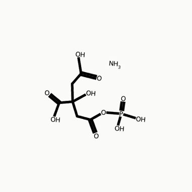 N.O=C(O)CC(O)(CC(=O)OP(=O)(O)O)C(=O)O